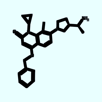 Cc1c(N2CC[C@@H]([C@H](C)N)C2)ccc2c(OCc3ccccc3)cc(=O)n(C3CC3)c12